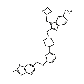 Cc1nc2ccc(COc3cccc(C4CCN(Cc5nc6ccc(C(=O)O)cc6n5C[C@@H]5CCO5)CC4)n3)cc2s1